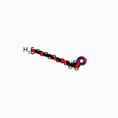 CC(=O)CCOCCOCCOCCOCCOCCOCCOCCOCCNC(=O)CCN1C(=O)CC(C2=C/C=C\C=C/C=C\C=C/C=C\2)C1=O